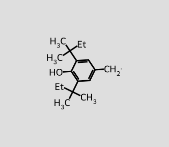 [CH2]c1cc(C(C)(C)CC)c(O)c(C(C)(C)CC)c1